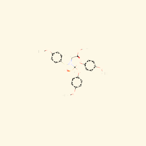 COC(=O)CN(Sc1ccc(OC)cc1)C(Oc1ccc(OC)cc1)(Oc1ccc(OC)cc1)P=O